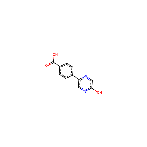 O=C(O)c1ccc(-c2cnc(O)cn2)cc1